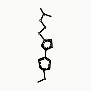 COc1ccc(-c2cn(SOON(C)C)cn2)cc1